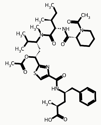 CC[C@H](C)[C@H](NC(=O)[C@H]1CCCCN1C(C)=O)C(=O)N(C)[C@H](C[C@@H](OC(C)=O)c1nc(C(=O)N[C@@H](Cc2ccccc2)C[C@H](C)C(=O)O)cs1)C(C)C